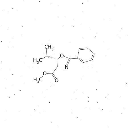 COC(=O)C1N=C(c2ccccc2)O[C@H]1C(C)C